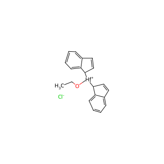 CC[O][Hf+]([CH]1C=Cc2ccccc21)[CH]1C=Cc2ccccc21.[Cl-]